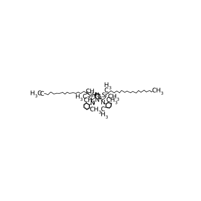 CCCCCCCCCCCCCCCCCC(C)(C)[SiH2]CC(=Nc1c(C)cccc1C)c1cccc(C(C[SiH2]C(C)(C)CCCCCCCCCCCCCCCCC)=Nc2c(C)cccc2C)n1